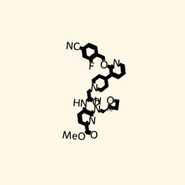 COC(=O)c1ccc(NC(=O)CN2CCC(c3cccnc3OCc3ccc(C#N)cc3F)CC2)c(NC[C@@H]2CCO2)n1